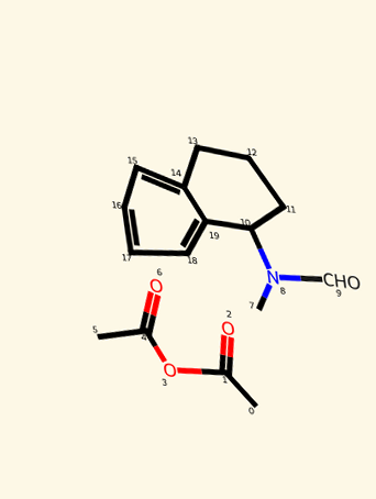 CC(=O)OC(C)=O.CN(C=O)C1CCCc2ccccc21